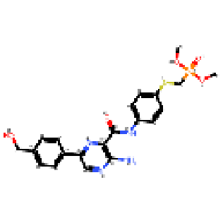 COP(=O)(CSc1ccc(NC(=O)c2nc(-c3ccc(CO)cc3)cnc2N)cc1)OC